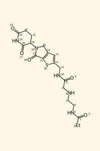 CCC(=O)NCCNCC(=O)NCc1cc2c(s1)C(=O)N(C1CCC(=O)NC1=O)C2